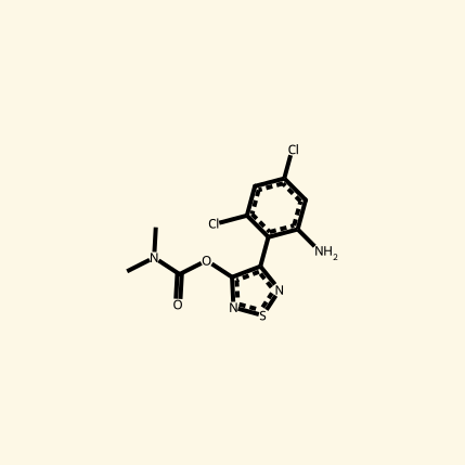 CN(C)C(=O)Oc1nsnc1-c1c(N)cc(Cl)cc1Cl